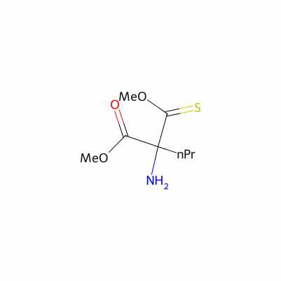 CCCC(N)(C(=O)OC)C(=S)OC